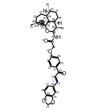 C[C@H]1[C@@H](NC(=O)COc2ccc(C(=O)/C=C/c3ccc4c(c3)OCO4)cc2)O[C@@H]2O[C@@]3(C)CC[C@H]4[C@H](C)CC[C@@H]1[C@@]24OO3